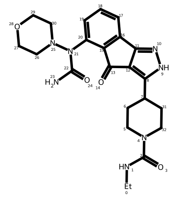 CCNC(=O)N1CCC(c2[nH]nc3c2C(=O)c2c-3cccc2N(C(N)=O)N2CCOCC2)CC1